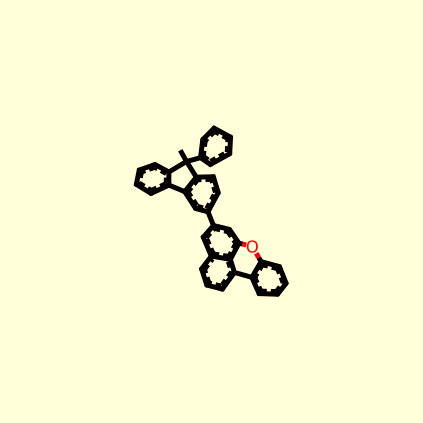 CC1(c2ccccc2)c2ccccc2-c2cc(-c3cc4c5c(cccc5c3)-c3ccccc3O4)ccc21